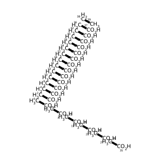 CC(=O)O.CC(=O)O.CC(=O)O.CC(=O)O.CC(=O)O.CC(=O)O.CC(=O)O.CC(=O)O.CC(=O)O.CC(=O)O.CC(=O)O.CC(=O)O.CC(=O)O.CC(=O)O.CC(=O)O.CC(=O)O.CC(=O)O.CC(=O)O.CC(=O)O.[CH2]C